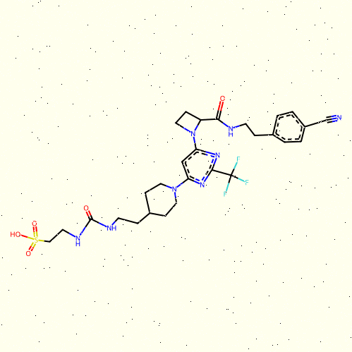 N#Cc1ccc(CCNC(=O)C2CCN2c2cc(N3CCC(CCNC(=O)NCCS(=O)(=O)O)CC3)nc(C(F)(F)F)n2)cc1